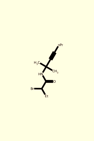 CCCC#CC(C)(C)NC(=O)C(Br)CC